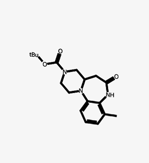 Cc1cccc2c1NC(=O)CC1CN(C(=O)OC(C)(C)C)CCN21